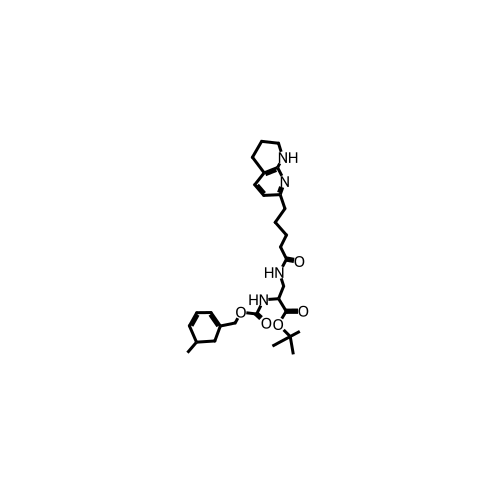 CC1C=CC=C(COC(=O)NC(CNC(=O)CCCCc2ccc3c(n2)NCCC3)C(=O)OC(C)(C)C)C1